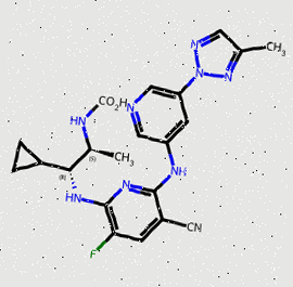 Cc1cnn(-c2cncc(Nc3nc(N[C@H](C4CC4)[C@H](C)NC(=O)O)c(F)cc3C#N)c2)n1